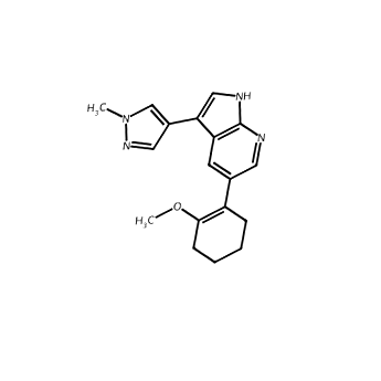 COC1=C(c2cnc3[nH]cc(-c4cnn(C)c4)c3c2)CCCC1